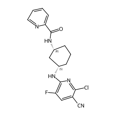 N#Cc1cc(F)c(N[C@H]2CCC[C@@H](NC(=O)c3ccccn3)C2)nc1Cl